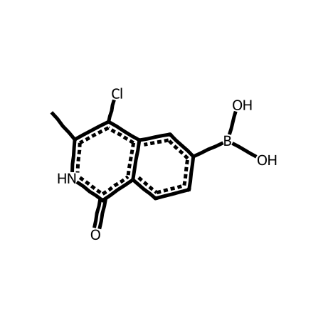 Cc1[nH]c(=O)c2ccc(B(O)O)cc2c1Cl